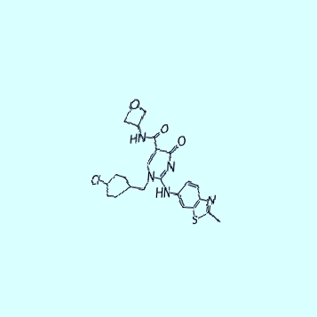 Cc1nc2ccc(Nc3nc(=O)c(C(=O)NC4COC4)cn3CC3CCC(Cl)CC3)cc2s1